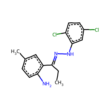 CC/C(=N\Nc1cc(Cl)ccc1Cl)c1cc(C)ccc1N